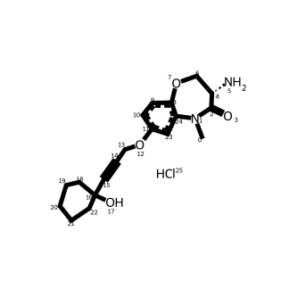 CN1C(=O)[C@@H](N)COc2ccc(OCC#CC3(O)CCCCC3)cc21.Cl